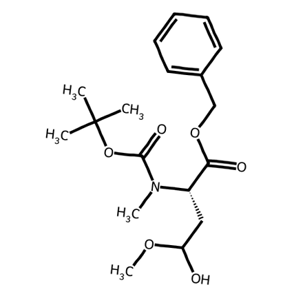 COC(O)C[C@@H](C(=O)OCc1ccccc1)N(C)C(=O)OC(C)(C)C